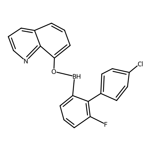 Fc1cccc(BOc2cccc3cccnc23)c1-c1ccc(Cl)cc1